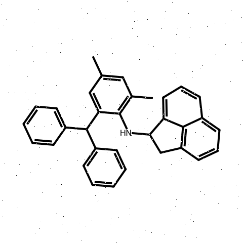 Cc1cc(C)c(NC2Cc3cccc4cccc2c34)c(C(c2ccccc2)c2ccccc2)c1